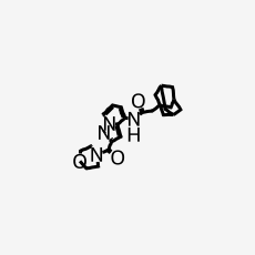 O=C(CC12CC3CC(CC(C3)C1)C2)Nc1cccn2nc(C(=O)N3CCOCC3)cc12